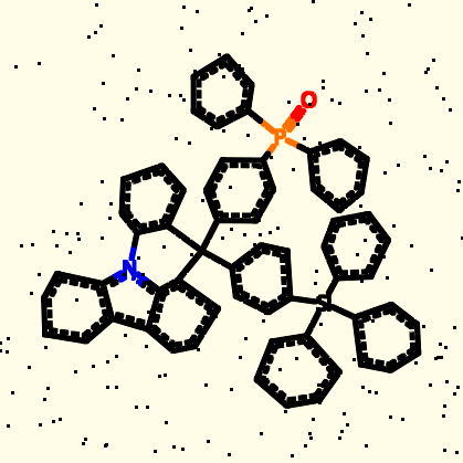 O=P(c1ccccc1)(c1ccccc1)c1ccc(C2(c3ccc([Si](c4ccccc4)(c4ccccc4)c4ccccc4)cc3)c3ccccc3-n3c4ccccc4c4cccc2c43)cc1